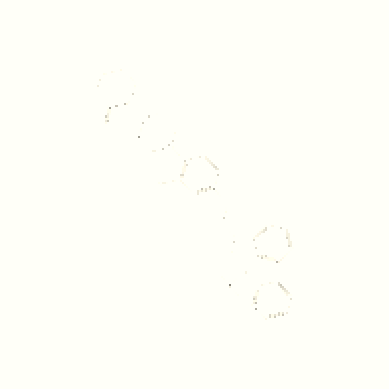 CC(C)(C)[Si](OCCOc1ccc(N2CCC(N3CCCCC3=O)CC2)c(N)c1)(c1ccccc1)c1ccccc1